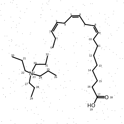 CC/C=C\C/C=C\C/C=C\CCCCCCCC(=O)O.CCC[N+](CCC)(CCC)CCC